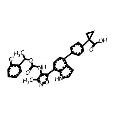 Cc1noc(-c2ccc(-c3ccc(C4(C(=O)O)CC4)cc3)c3cc[nH]c23)c1NC(=O)OC(C)c1ccccc1Cl